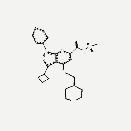 CS(=O)(=O)NC(=O)c1cc(OCC2CCOCC2)c2c(C3CCC3)nn(-c3ccccc3)c2n1